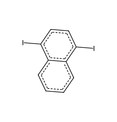 Ic1ccc(I)c2ccccc12